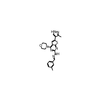 Cc1cccc(/C=N/Nc2nc(N3CCOCC3)c3cc(-c4c[nH]nc4C)sc3n2)c1